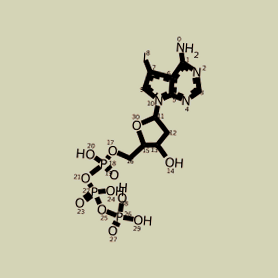 Nc1ncnc2c1c(I)cn2C1CC(O)C(COP(=O)(O)OP(=O)(O)OP(=O)(O)O)O1